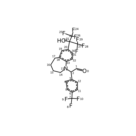 O=CC(c1ccc(C(F)(F)F)cc1)N1CCCCc2cc(C(O)(C(F)(F)F)C(F)(F)F)ccc21